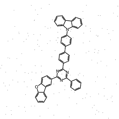 c1ccc(-c2nc(-c3ccc(-c4ccc(-n5c6ccccc6c6ccccc65)cc4)cc3)nc(-c3ccc4oc5ccccc5c4c3)n2)cc1